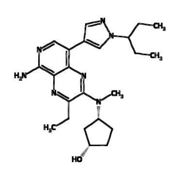 CCc1nc2c(N)ncc(-c3cnn(C(CC)CC)c3)c2nc1N(C)[C@@H]1CC[C@H](O)C1